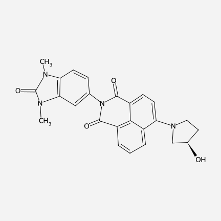 Cn1c(=O)n(C)c2cc(N3C(=O)c4cccc5c(N6CC[C@@H](O)C6)ccc(c45)C3=O)ccc21